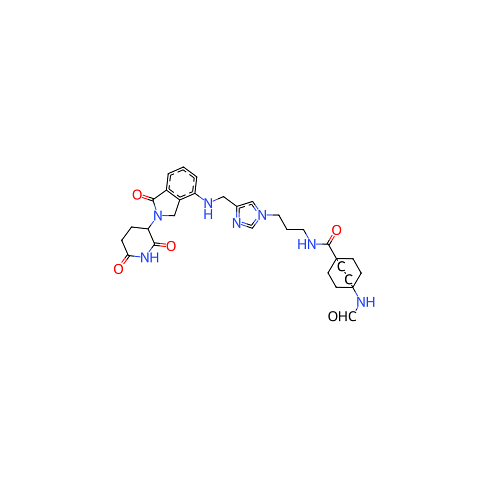 O=CNC12CCC(C(=O)NCCCn3cnc(CNc4cccc5c4CN(C4CCC(=O)NC4=O)C5=O)c3)(CC1)CC2